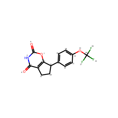 O=c1[nH]c(=O)c2c(o1)C(c1ccc(OC(F)(F)F)cc1)CC2